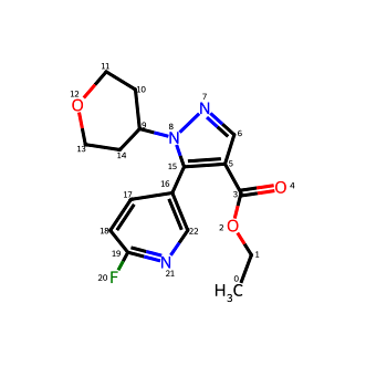 CCOC(=O)c1cnn(C2CCOCC2)c1-c1ccc(F)nc1